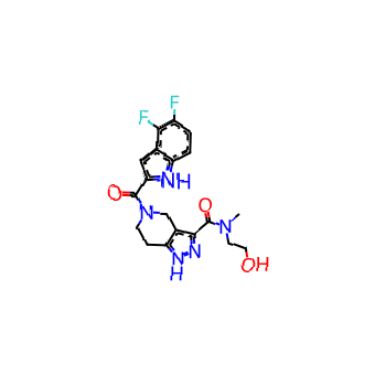 CN(CCO)C(=O)c1n[nH]c2c1CN(C(=O)c1cc3c(F)c(F)ccc3[nH]1)CC2